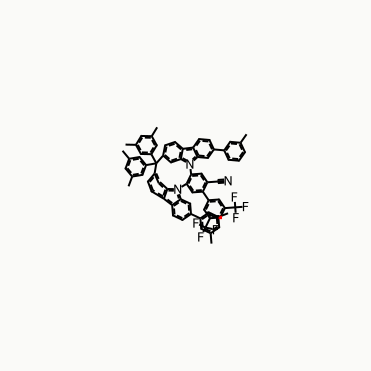 Cc1cccc(-c2ccc3c4ccc5cc4n(c3c2)-c2cc(C#N)c(-c3cc(C(F)(F)F)cc(C(F)(F)F)c3)cc2-n2c3cc(-c4cc(C)cc(C)c4)ccc3c3ccc(cc32)C5(c2cc(C)cc(C)c2)c2cc(C)cc(C)c2)c1